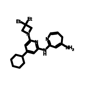 CCC1(CC)CN(c2cc(C3CCCCC3)cc(NC3=NC=CCC(N)=C3)n2)C1